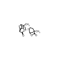 C[C@H]1C2OC(=O)C3C2SC1[C@@H]3CC[C@@H]1CC[C@]2(C)CC1OC2=O